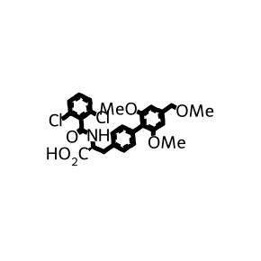 COCc1cc(OC)c(-c2ccc(C[C@H](NC(=O)c3c(Cl)cccc3Cl)C(=O)O)cc2)c(OC)c1